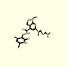 Cc1cc(C)c(CNC(=O)c2cc(N(C)CCCN(C)C)nc(NC(C)C)c2C=N)c(=O)[nH]1